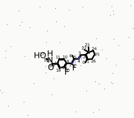 CC1=C(/C=C/C(C)=C(\F)c2ccc(C(=O)NCO)cc2F)C(C)(C)CCC1